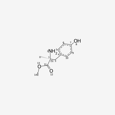 C[C@](N)(Cc1ccc(O)cc1)C(=O)OI